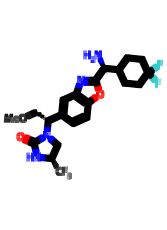 COC[C@H](c1ccc2oc([C@@H](N)C3CCC(F)(F)CC3)nc2c1)N1C[C@@H](C(F)(F)F)NC1=O